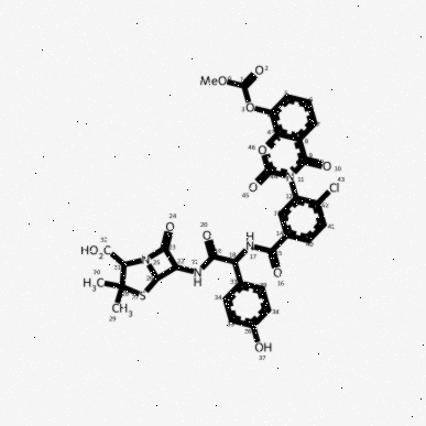 COC(=O)Oc1cccc2c(=O)n(-c3cc(C(=O)NC(C(=O)NC4C(=O)N5C4SC(C)(C)C5C(=O)O)c4ccc(O)cc4)ccc3Cl)c(=O)oc12